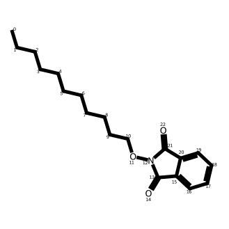 CCCCCCCCCCCON1C(=O)c2ccccc2C1=O